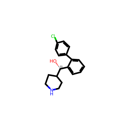 O[C@H](c1ccccc1-c1ccc(Cl)cc1)C1CCNCC1